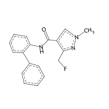 Cn1cc(C(=O)Nc2ccccc2-c2ccccc2)c(CF)n1